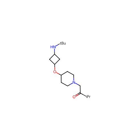 CC(C)C(=O)CN1CCC(OC2CC(NC(C)(C)C)C2)CC1